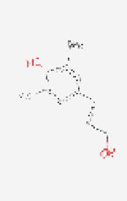 COc1cc(C=CCO)cc(OC)c1O